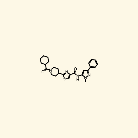 Cn1nc(-c2ccccc2)cc1NC(=O)c1csc(C2CCN(C(=O)C3CCCCC3)CC2)n1